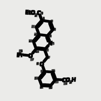 CCOC(=O)c1ccc2nc(COc3cccc(C(=O)O)c3)c(OC(C)C)cc2c1